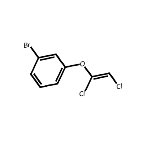 ClC=C(Cl)Oc1cccc(Br)c1